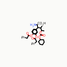 CC(C)CC(=O)Oc1ccc(C(C(C)C(C)OC(=O)OC2CCCCC2)[C@H](N)C(=O)O)cc1OC(=O)CC(C)C